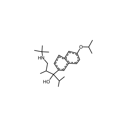 CC(C)Oc1ccc2cc(C(O)(C(C)C)C(C)CNC(C)(C)C)ccc2c1